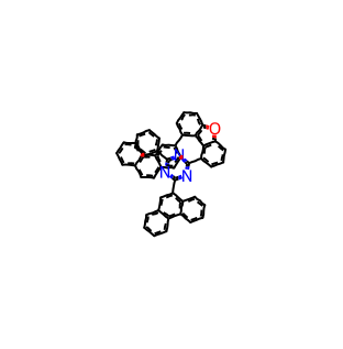 c1ccc(-c2nc(-c3cc4ccccc4c4ccccc34)nc(-c3cccc4oc5cccc(-c6ccc7ccc8ccccc8c7c6)c5c34)n2)cc1